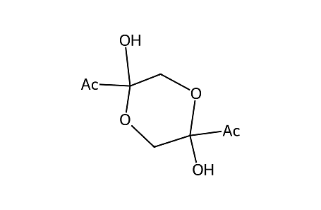 CC(=O)C1(O)COC(O)(C(C)=O)CO1